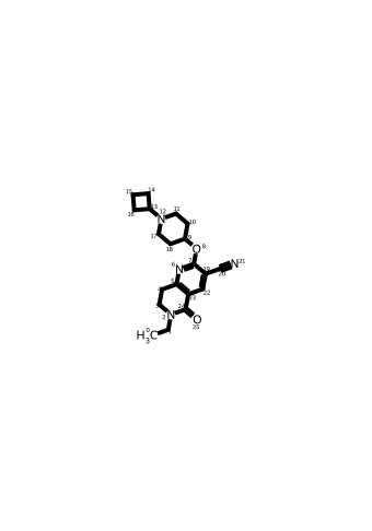 CCN1CCc2nc(OC3CCN(C4CCC4)CC3)c(C#N)cc2C1=O